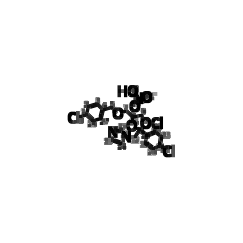 Clc1ccc(COCC2COC(Cn3ccnc3)(c3ccc(Cl)cc3Cl)O2)cc1.O=[N+]([O-])O